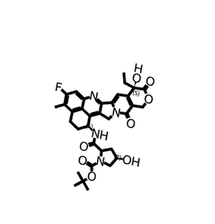 CC[C@@]1(O)C(=O)OCc2c1cc1n(c2=O)Cc2c-1nc1cc(F)c(C)c3c1c2[C@@H](NC(=O)C1C[C@@H](O)CN1C(=O)OC(C)(C)C)CC3